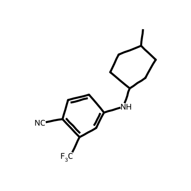 CC1CCC(Nc2ccc(C#N)c(C(F)(F)F)c2)CC1